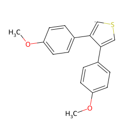 COc1ccc(-c2[c]scc2-c2ccc(OC)cc2)cc1